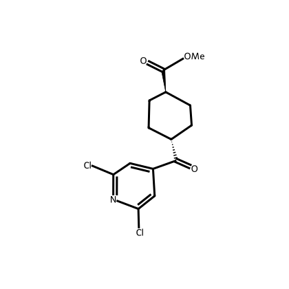 COC(=O)[C@H]1CC[C@H](C(=O)c2cc(Cl)nc(Cl)c2)CC1